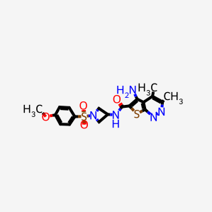 COc1ccc(S(=O)(=O)N2CC(NC(=O)c3sc4nnc(C)c(C)c4c3N)C2)cc1